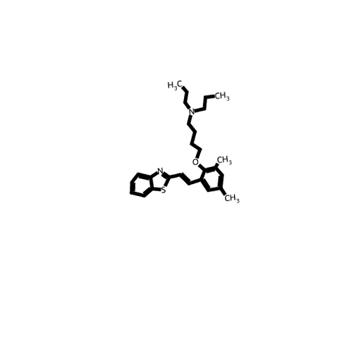 CCCN(CCC)CCCCOc1c(C)cc(C)cc1/C=C/c1nc2ccccc2s1